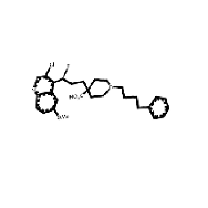 COc1ccc2ncc(Cl)c([C@@H](F)CCC3(C(=O)O)CCN(CCCCc4ccccc4)CC3)c2c1